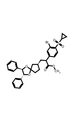 COC(=O)C(C[C@H]1CCC2(C1)O[C@H](c1ccccc1)[C@@H](c1ccccc1)O2)c1ccc(S(=O)(=O)C2CC2)c(Br)c1